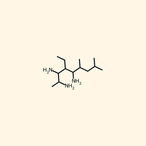 CCC(C(N)C(C)N)C(N)C(C)CC(C)C